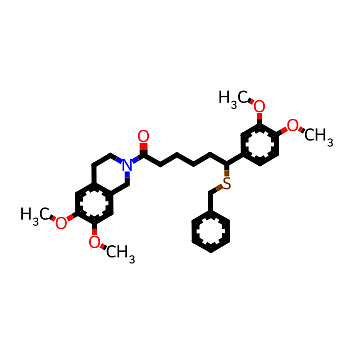 COc1ccc(C(CCCCC(=O)N2CCc3cc(OC)c(OC)cc3C2)SCc2ccccc2)cc1OC